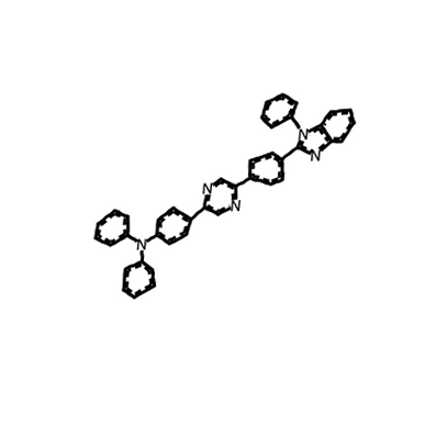 c1ccc(N(c2ccccc2)c2ccc(-c3cnc(-c4ccc(-c5nc6ccccc6n5-c5ccccc5)cc4)cn3)cc2)cc1